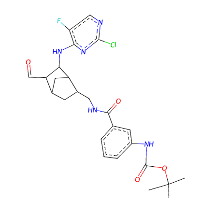 CC(C)(C)OC(=O)Nc1cccc(C(=O)NCC2CC3CC2C(Nc2nc(Cl)ncc2F)C3C=O)c1